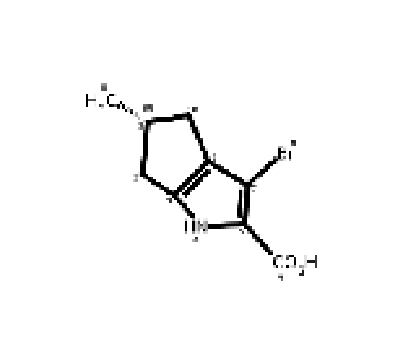 C[C@H]1Cc2[nH]c(C(=O)O)c(Br)c2C1